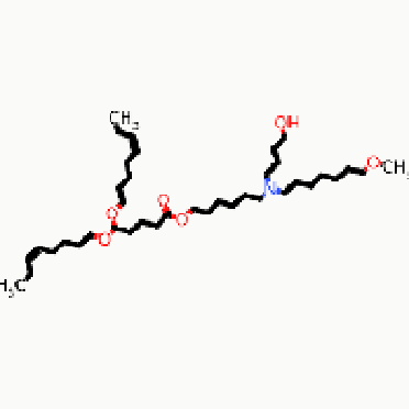 CC/C=C\CCCCOC(CCCC(=O)OCCCCCCN(CCCCO)CCCCCCCOC)OCCCC/C=C\CC